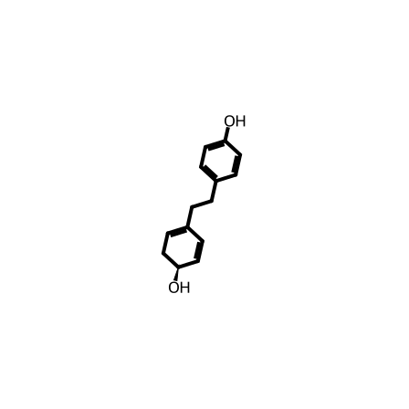 Oc1ccc(CCC2=CC[C@H](O)C=C2)cc1